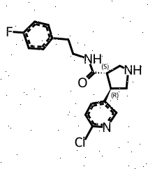 O=C(NCCc1ccc(F)cc1)[C@@H]1CNC[C@H]1c1ccc(Cl)nc1